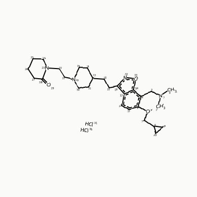 CN(C)Cc1c(OCC2CC2)ccc2c(CCC3CCN(CCN4CCCCC4=O)CC3)noc12.Cl.Cl